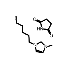 CCCCCCN1C=CN(C)C1.O=C1CCC(=O)N1